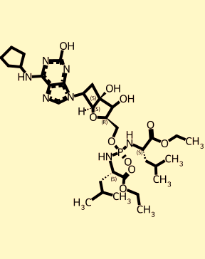 CCOC(=O)[C@H](CC(C)C)NP(=O)(N[C@@H](CC(C)C)C(=O)OCC)OC[C@H]1O[C@H]2C(n3cnc4c(NC5CCCC5)nc(O)nc43)C[C@]2(O)C1O